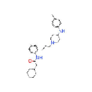 Cc1ccc(NC2CCN(CCCc3ccccc3NC(=O)CC3CCCCC3)CC2)cc1